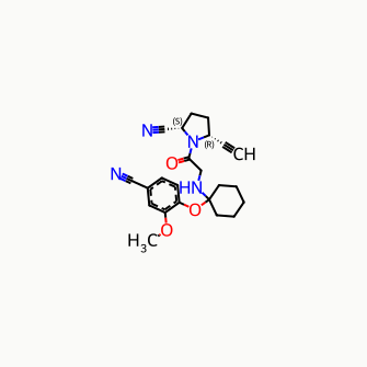 C#C[C@H]1CC[C@@H](C#N)N1C(=O)CNC1(Oc2ccc(C#N)cc2OC)CCCCC1